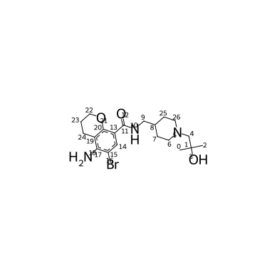 CC(C)(O)CN1CCC(CNC(=O)c2cc(Br)c(N)c3c2OCCC3)CC1